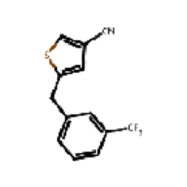 N#Cc1csc(Cc2cccc(C(F)(F)F)c2)c1